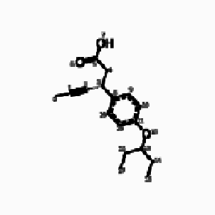 CC#C[C@H](CC(=O)O)c1ccc(OC(CC)CC)cc1